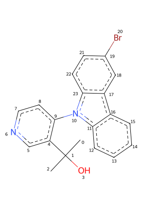 CC(C)(O)c1cnccc1-n1c2ccccc2c2cc(Br)ccc21